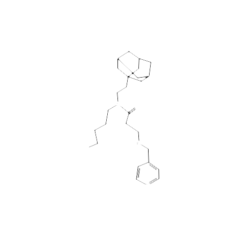 CCCCCN(CCC12CC3CC(CC(C3)C1)C2)C(=O)CCNCc1ccncc1